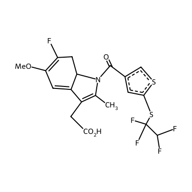 COC1=C(F)CC2C(=C1)C(CC(=O)O)=C(C)N2C(=O)c1csc(SC(F)(F)C(F)F)c1